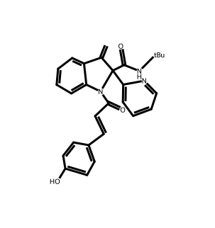 C=C1c2ccccc2N(C(=O)C=Cc2ccc(O)cc2)C1(C(=O)NC(C)(C)C)c1ccccn1